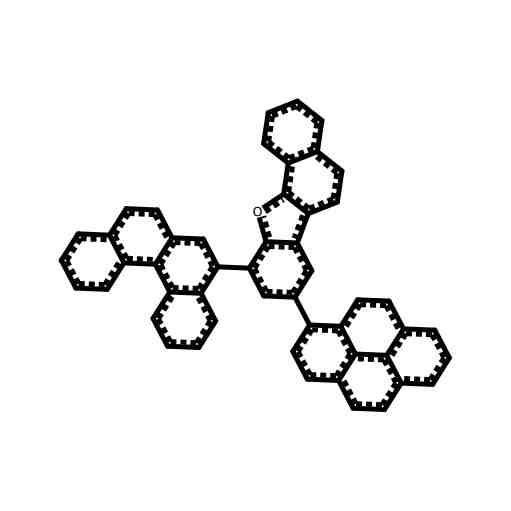 c1ccc2c(c1)ccc1c3cc(-c4ccc5ccc6cccc7ccc4c5c67)cc(-c4cc5ccc6ccccc6c5c5ccccc45)c3oc21